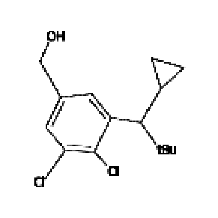 CC(C)(C)C(c1cc(CO)cc(Cl)c1Cl)C1CC1